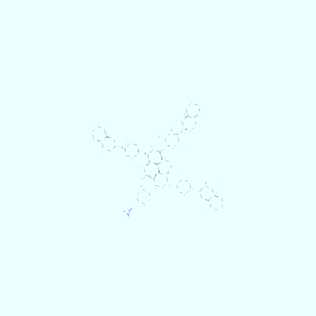 N#Cc1ccc(-c2cc(-c3ccc(-c4ccc5ccccc5c4)cc3)c3ccc4c(-c5ccc(-c6ccc7ccccc7c6)cc5)cc(-c5ccc(-c6ccc7ccccc7c6)cc5)c5ccc2c3c54)cc1